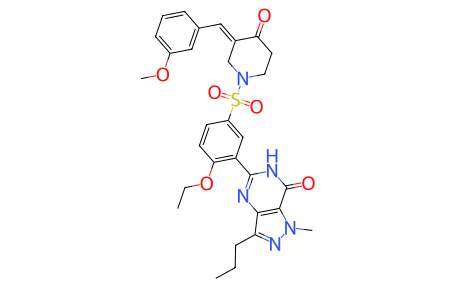 CCCc1nn(C)c2c(=O)[nH]c(-c3cc(S(=O)(=O)N4CCC(=O)/C(=C/c5cccc(OC)c5)C4)ccc3OCC)nc12